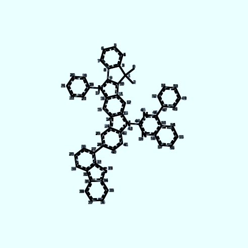 CC1(C)c2ccccc2-c2c1c1cc3c(cc1n2-c1ccccc1)c1cc(-c2cccc4c2sc2ccccc24)ccc1n3-c1nc(-c2ccccc2)c2ccccc2n1